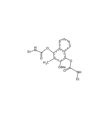 CCNC(=O)Oc1c(C)c(OC)c(OC(=O)NCC)c2ccccc12